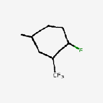 CC1CCC(F)C(C(F)(F)F)C1